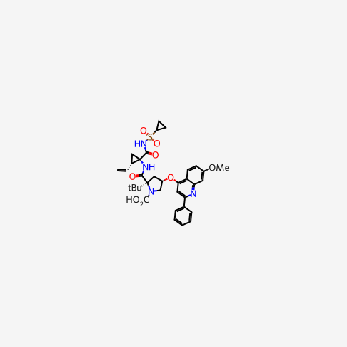 C=C[C@@H]1C[C@]1(NC(=O)[C@@]1(C(C)(C)C)C[C@@H](Oc2cc(-c3ccccc3)nc3cc(OC)ccc23)CN1C(=O)O)C(=O)NS(=O)(=O)C1CC1